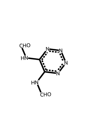 O=CNc1nnnnc1NC=O